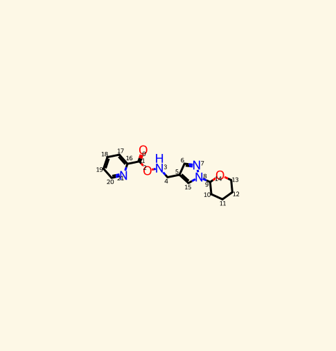 O=C(ONCc1cnn(C2CCCCO2)c1)c1ccccn1